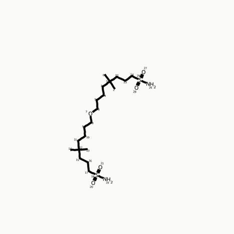 CC(C)(CCCCOCCCCC(C)(C)CCCS(N)(=O)=O)CCCS(N)(=O)=O